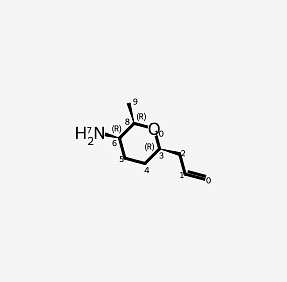 C=CC[C@H]1CC[C@@H](N)[C@@H](C)O1